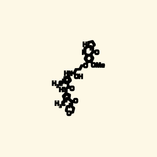 COc1cc2c(cc1OCCCC(O)Nc1cc(C(=O)Nc3cc(C(=O)N4CCOCC4)n(C)c3)n(C)c1)N=C[C@@H]1CCCN1C2=O